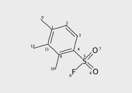 Cc1ccc(S(=O)(=O)F)c(C)c1C